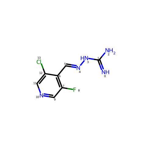 N=C(N)NN=Cc1c(F)cncc1Cl